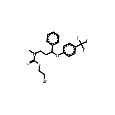 CN(CCC(Oc1ccc(C(F)(F)F)cc1)c1ccccc1)C(=O)SCCBr